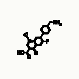 NCc1ccc(-c2cc3c(cc2F)c(=O)c(C(=O)O)cn3C2CC2)cc1